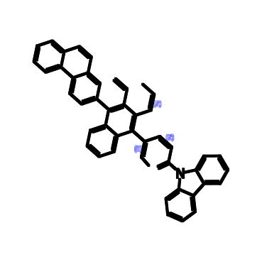 C=Cc1c(/C=C\C)c(C(/C=C\C(=C)n2c3ccccc3c3ccccc32)=C/C)c2ccccc2c1-c1ccc2c(ccc3ccccc32)c1